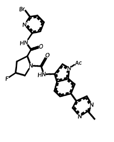 CC(=O)n1cc(NC(=O)N2CC(F)CC2C(=O)Nc2cccc(Br)n2)c2ccc(-c3cnc(C)nc3)cc21